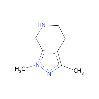 Cc1nn(C)c2c1CCNC2